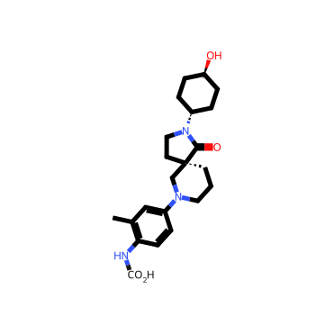 Cc1cc(N2CCC[C@@]3(CCN([C@H]4CC[C@H](O)CC4)C3=O)C2)ccc1NC(=O)O